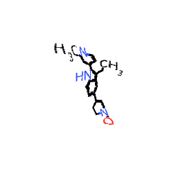 CCc1c(-c2ccnc(C)c2)[nH]c2ccc(C3CCN(C=O)CC3)cc12